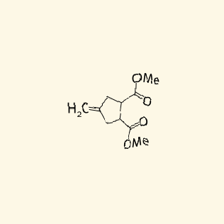 C=C1CC(C(=O)OC)C(C(=O)OC)C1